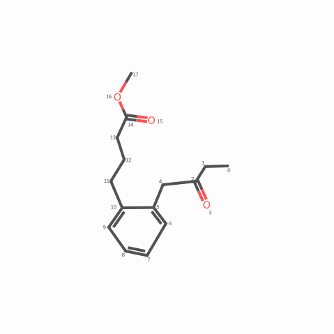 CCC(=O)Cc1ccccc1CCCC(=O)OC